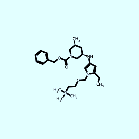 CCc1cc(N[C@@H]2C[C@H](C)CN(C(=O)OCc3ccccc3)C2)cn1COCC[Si](C)(C)C